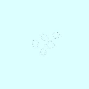 Clc1ccc2c(c1)C(c1ccccc1)(c1cccc(-c3ccccc3)c1)c1cccc(Br)c1-2